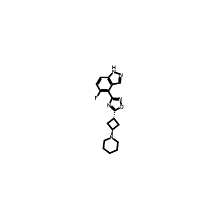 Fc1ccc2[nH]ncc2c1-c1noc([C@H]2C[C@H](N3CCCCC3)C2)n1